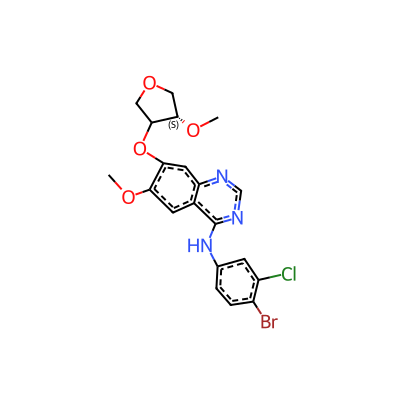 COc1cc2c(Nc3ccc(Br)c(Cl)c3)ncnc2cc1OC1COC[C@@H]1OC